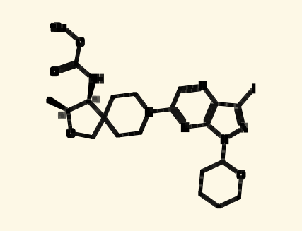 C[C@@H]1OCC2(CCN(c3cnc4c(I)nn(C5CCCCO5)c4n3)CC2)[C@@H]1NC(=O)OC(C)(C)C